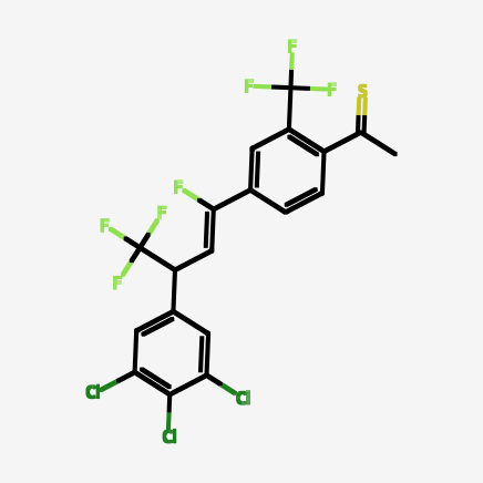 CC(=S)c1ccc(/C(F)=C/C(c2cc(Cl)c(Cl)c(Cl)c2)C(F)(F)F)cc1C(F)(F)F